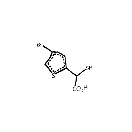 O=C(O)C(S)c1cc(Br)cs1